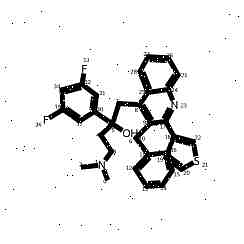 CN(C)CCC(O)(Cc1c(Cc2ccccc2)c(-c2ccsc2)nc2ccccc12)c1cc(F)cc(F)c1